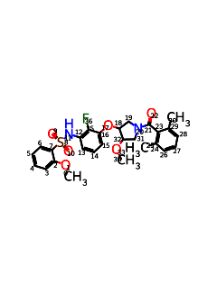 COc1ccccc1S(=O)(=O)Nc1cccc(OC2CN(C(=O)c3c(C)cccc3C)CC2OC)c1F